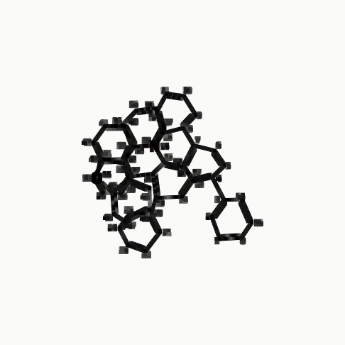 c1ccc(-c2ccc(-c3ccccc3N(c3cccc(-c4ccccc4)c3-c3ccccc3-c3ccccc3)c3cccc4oc5ccccc5c34)cc2)cc1